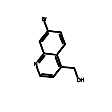 OCc1ccnc2cc(Br)ccc12